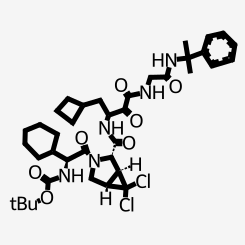 CC(C)(C)OC(=O)N[C@H](C(=O)N1C[C@H]2[C@@H]([C@H]1C(=O)NC(CC1CCC1)C(=O)C(=O)NCC(=O)NC(C)(C)c1ccccc1)C2(Cl)Cl)C1CCCCC1